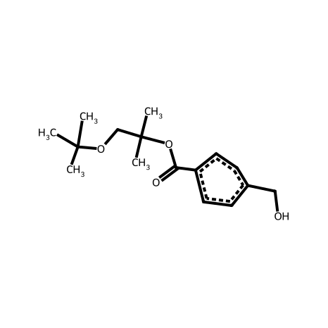 CC(C)(C)OCC(C)(C)OC(=O)c1ccc(CO)cc1